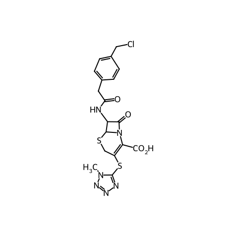 Cn1nnnc1SC1=C(C(=O)O)N2C(=O)C(NC(=O)Cc3ccc(CCl)cc3)C2SC1